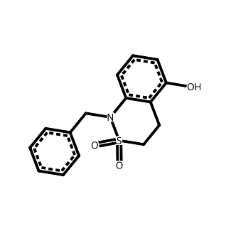 O=S1(=O)CCc2c(O)cccc2N1Cc1ccccc1